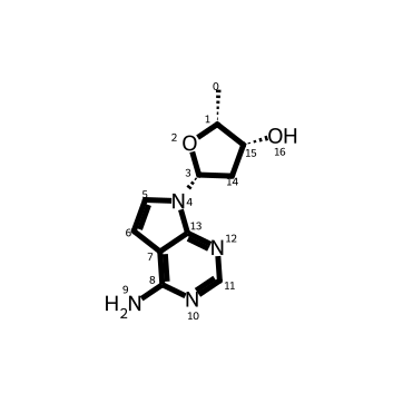 C[C@H]1O[C@@H](n2ccc3c(N)ncnc32)C[C@H]1O